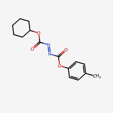 Cc1ccc(OC(=O)N=NC(=O)OC2CCCCC2)cc1